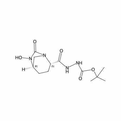 CC(C)(C)OC(=O)NNC(=O)[C@@H]1CC[C@@H]2CN1C(=O)N2O